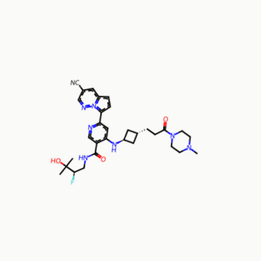 CN1CCN(C(=O)CC[C@H]2C[C@H](Nc3cc(-c4ccc5cc(C#N)cnn45)ncc3C(=O)NC[C@@H](F)C(C)(C)O)C2)CC1